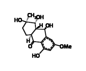 COc1cc(O)c2c(c1)[C@H](O)[C@@H]1[C@H](CC[C@@](C)(O)[C@@H]1O)C2=O